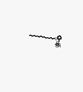 CCCCCCCCCCCCCCCCOc1ccccc1COP(C)(=O)O